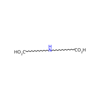 O=C(O)CCCCCCCCCCCCCCCCNCCCCCCCCCCCCCCCCC(=O)O